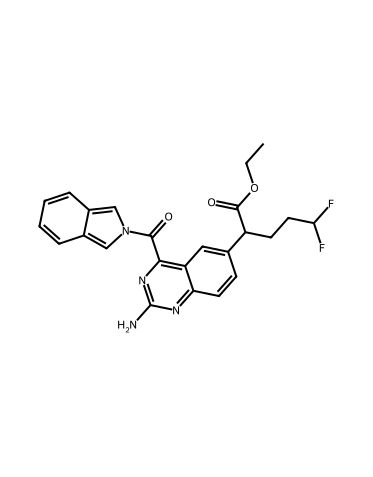 CCOC(=O)C(CCC(F)F)c1ccc2nc(N)nc(C(=O)n3cc4ccccc4c3)c2c1